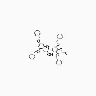 C=CCOc1c(OCc2ccccc2)cc([C@H]2Oc3cc(OCc4ccccc4)cc(OCc4ccccc4)c3C[C@H]2O)cc1OCc1ccccc1